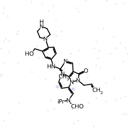 C=CCn1c(=O)c2cnc(Nc3ccc(N4CCNCC4)c(CO)c3)nc2n1C(/C=C\C)=C/N(C=O)C(C)C